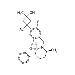 CC(=O)C1(c2cc(F)c(CN3[C@@H](C)CC[C@H](c4ccccc4)S3(=O)=O)cc2F)CC(C)(O)C1